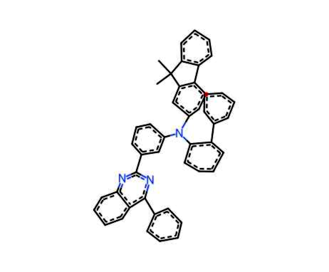 CC1(C)c2ccccc2-c2ccc(N(c3cccc(-c4nc(-c5ccccc5)c5ccccc5n4)c3)c3ccccc3-c3ccccc3)cc21